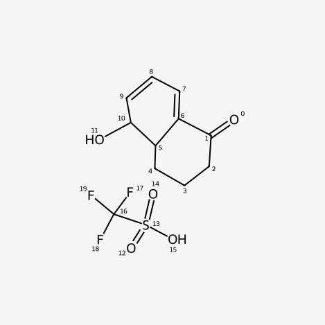 O=C1CCCC2C1=CC=CC2O.O=S(=O)(O)C(F)(F)F